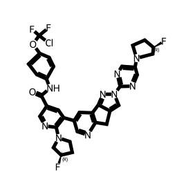 O=C(Nc1ccc(OC(F)(F)Cl)cc1)c1cnc(N2CC[C@@H](F)C2)c(-c2cnc3c(c2)-c2nn(-c4ncc(N5CC[C@@H](F)C5)cn4)cc2C3)c1